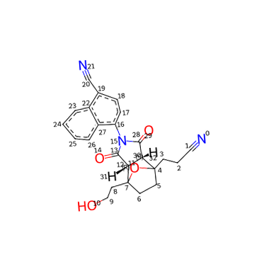 N#CCCC12CCC(CCO)(O1)[C@@H]1C(=O)N(c3ccc(C#N)c4ccccc34)C(=O)[C@@H]12